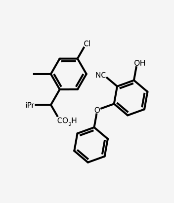 Cc1cc(Cl)ccc1C(C(=O)O)C(C)C.N#Cc1c(O)cccc1Oc1ccccc1